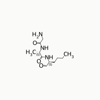 CCCC[C@@H](C=O)NC(=O)[C@H](C)NC(=O)CN